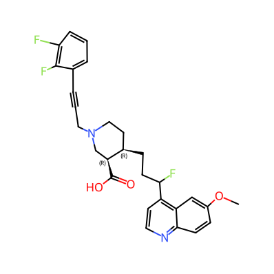 COc1ccc2nccc(C(F)CC[C@@H]3CCN(CC#Cc4cccc(F)c4F)C[C@@H]3C(=O)O)c2c1